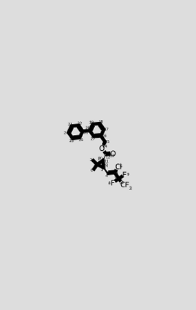 CC1(C)[C@H](C=C(Cl)C(F)(F)C(F)(F)F)[C@H]1C(=O)OCc1cccc(-c2ccccc2)c1